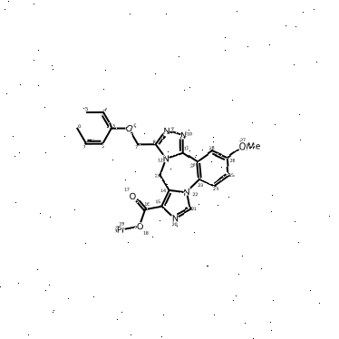 C/C=C\C(=C/C)OCc1nnc2n1Cc1c(C(=O)OC(C)C)ncn1-c1ccc(OC)cc1-2